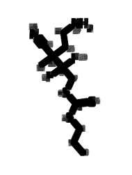 CCCSC(=S)SCC(F)(F)C(C)(C#N)CCN